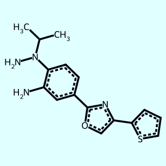 CC(C)N(N)c1ccc(-c2nc(-c3cccs3)co2)cc1N